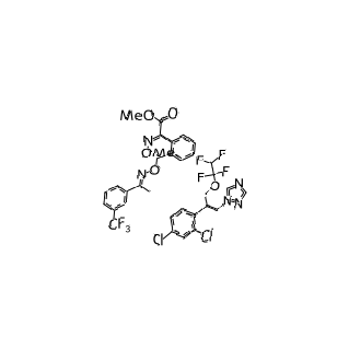 CO/N=C(/C(=O)OC)c1ccccc1CO/N=C(\C)c1cccc(C(F)(F)F)c1.FC(F)C(F)(F)OCC(Cn1cncn1)c1ccc(Cl)cc1Cl